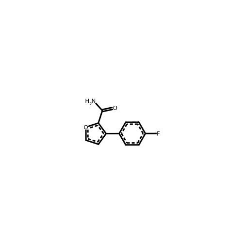 NC(=O)c1occc1-c1ccc(F)cc1